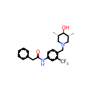 C[C@@H]1CN(Cc2ccc(NC(=O)Cc3ccccc3)cc2C(F)(F)F)C[C@H](C)[C@H]1O